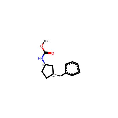 CC(C)(C)OC(=O)N[C@@H]1CC[C@@H](Cc2ccccc2)C1